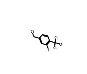 Fc1cc(CCl)ccc1C(Cl)(Cl)Cl